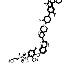 CN(CCO)S(=O)(=O)Nc1ccc(F)c(Oc2ccc3ncc(C4COC5(CCN(C6CCC(c7cc8c(cc7F)c(N7CCC(=O)NC7=O)nn8C)CC6F)CC5)C4)nc3c2)c1C#N